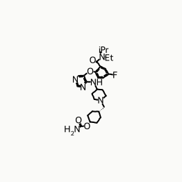 CCN(C(=O)c1cc(F)ccc1Oc1cncnc1NC1CCN(C[C@H]2CC[C@H](OC(N)=O)CC2)CC1)C(C)C